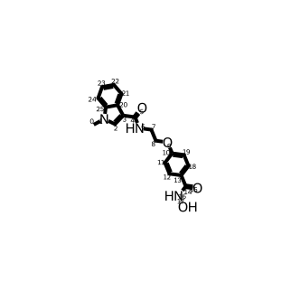 Cn1cc(C(=O)NCCOc2ccc(C(=O)NO)cc2)c2ccccc21